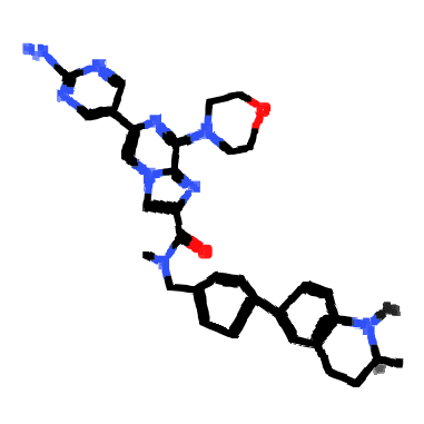 CC(=O)N1c2ccc(-c3ccc(CN(C)C(=O)c4cn5cc(-c6cnc(N)nc6)nc(N6CCOCC6)c5n4)cc3)cc2CC[C@@H]1C